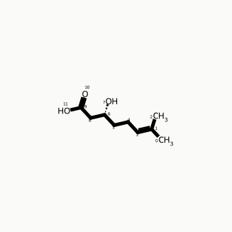 CC(C)=CCC[C@@H](O)CC(=O)O